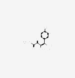 CCOC(=O)/C(C(=O)C(=O)NC)=C(\O)c1ccc(Cl)cc1